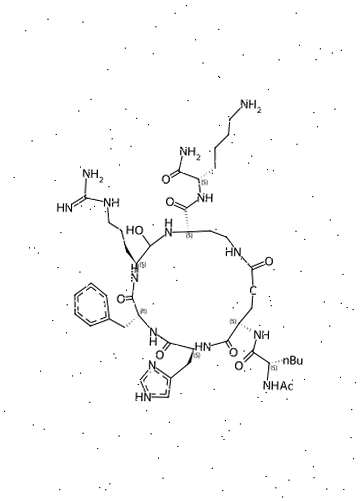 CCCC[C@H](NC(C)=O)C(=O)N[C@H]1CCC(=O)NCC[C@@H](C(=O)N[C@@H](CCCCN)C(N)=O)NC(O)[C@H](CCCNC(=N)N)NC(=O)[C@@H](Cc2ccccc2)NC(=O)[C@H](Cc2c[nH]cn2)NC1=O